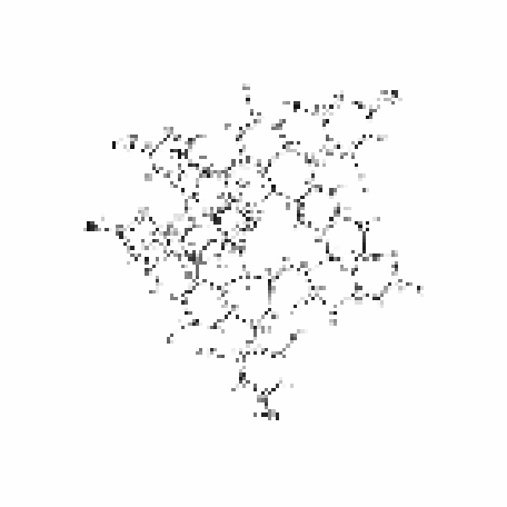 [C-]#[N+]c1ccc2oc3c(c2c1)N(c1ccc(C(C)(C)C)cc1F)c1cc(C)cc2c1B3c1cc3c(cc1N2c1c(F)cc(C(C)(C)C)cc1F)Oc1cc(C)cc2c1B3c1cc3c(cc1O2)N(c1c(F)cc(C(C)(C)C)cc1F)c1cc(C)cc2c1B3c1oc3ccc(C#N)cc3c1N2c1ccc(C(C)(C)C)cc1F